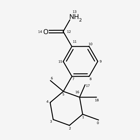 CC1CCCC(C)(c2cccc(C(N)=O)c2)C1(C)C